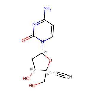 C#C[C@@]1(CO)O[C@@H](n2ccc(N)nc2=O)C[C@H]1O